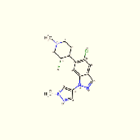 CN1CCC(c2cc3c(cnn3-c3cnn(C)c3)cc2Cl)[C@H](F)C1